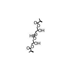 C=C(C)C(=O)OCC(O)COBOCC(O)COC(=O)C(=C)C